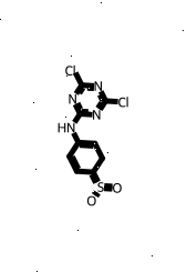 O=S(=O)=C1C=CC(Nc2nc(Cl)nc(Cl)n2)=CC1